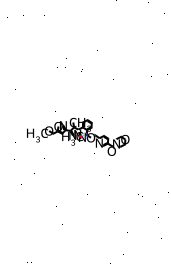 C/N=C(/OCc1ccc(C(=O)N2CCOCC2)cn1)c1ccccc1C1=NN=C(c2cc(COC)on2)C1C